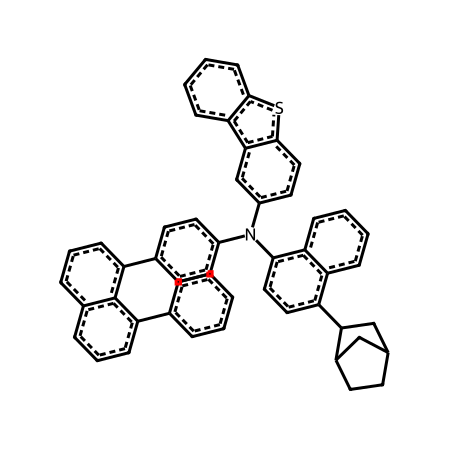 c1ccc(-c2cccc3cccc(-c4ccc(N(c5ccc6sc7ccccc7c6c5)c5ccc(C6CC7CCC6C7)c6ccccc56)cc4)c23)cc1